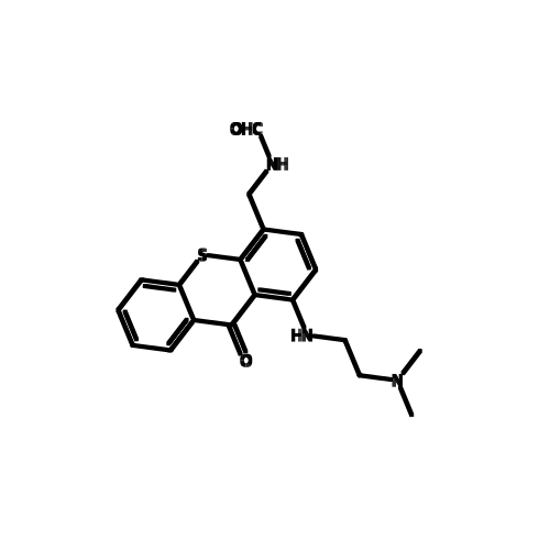 CN(C)CCNc1ccc(CNC=O)c2sc3ccccc3c(=O)c12